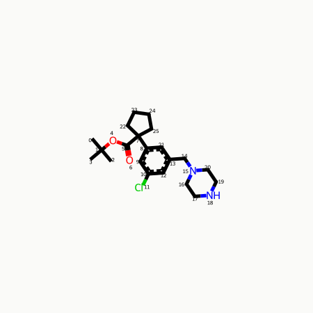 CC(C)(C)OC(=O)C1(c2cc(Cl)cc(CN3CCNCC3)c2)CCCC1